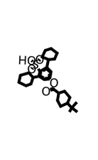 CC(C)(C)C1CCC(C(=O)Oc2cc(C3CCCCC3)c(S(=O)(=O)O)c(C3CCCCC3)c2)CC1